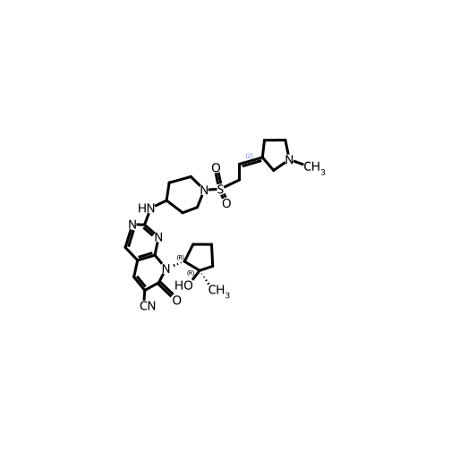 CN1CC/C(=C/CS(=O)(=O)N2CCC(Nc3ncc4cc(C#N)c(=O)n([C@@H]5CCC[C@@]5(C)O)c4n3)CC2)C1